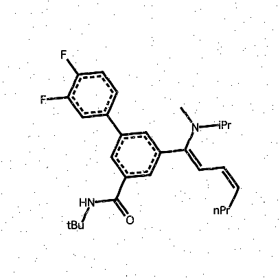 CCC/C=C\C=C(\c1cc(C(=O)NC(C)(C)C)cc(-c2ccc(F)c(F)c2)c1)N(C)C(C)C